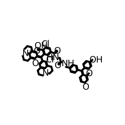 O=C(CNC(=O)c1cc(Cl)c(C(=O)O)c(C2=c3cc4c5c(c3Oc3c2cc2c6c3CCCN6CCC2)CCC[N+]=5CCC4)c1Cl)NCc1ccc(-c2c3ccc(=O)cc-3oc3cc(O)ccc23)cc1